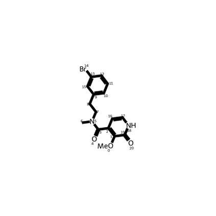 COc1c(C(=O)N(C)CCc2cccc(Br)c2)cc[nH]c1=O